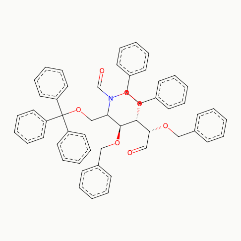 O=C[C@@H](OCc1ccccc1)[C@@H](OCc1ccccc1)[C@@H](OCc1ccccc1)C(COC(c1ccccc1)(c1ccccc1)c1ccccc1)N(C=O)OCc1ccccc1